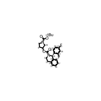 CC(C)(C)OC(=O)N1CCC(OC(=O)N2CCc3ccccc3[C@@H]2c2ccc(F)cc2F)C1